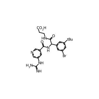 CC(C)(C)c1cc(Br)cc(C(NC(=O)c2cncc(NC(=N)N)c2)C(=O)NCCC(=O)O)c1